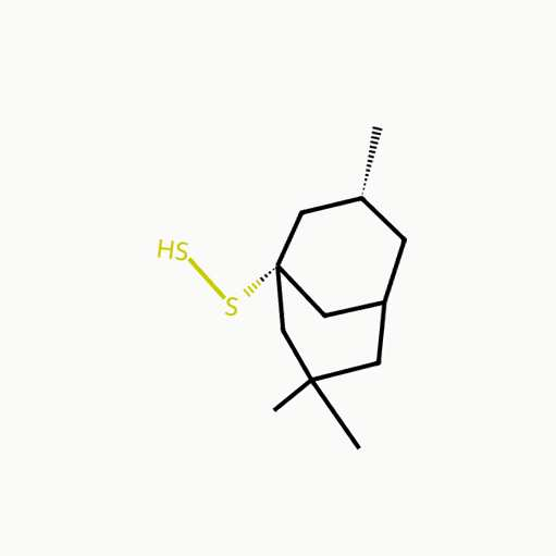 C[C@@H]1CC2CC(C)(C)C[C@](SS)(C2)C1